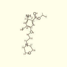 CCOC(=O)c1cc(OCCCN2CCOCC2)c(F)cc1N